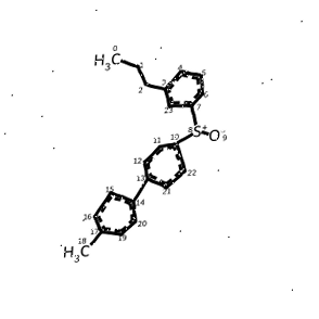 CCCc1cccc([S+]([O-])c2ccc(-c3ccc(C)cc3)cc2)c1